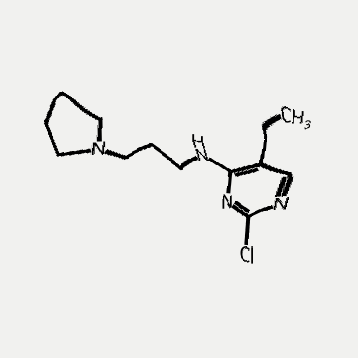 CCc1cnc(Cl)nc1NCCCN1CCCC1